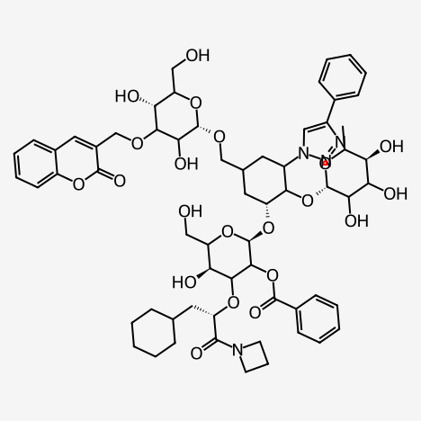 CC1O[C@@H](OC2C(n3cc(-c4ccccc4)nn3)CC(CO[C@H]3OC(CO)[C@@H](O)C(OCc4cc5ccccc5oc4=O)C3O)C[C@H]2O[C@@H]2OC(CO)[C@H](O)C(O[C@@H](CC3CCCCC3)C(=O)N3CCC3)C2OC(=O)c2ccccc2)C(O)C(O)[C@@H]1O